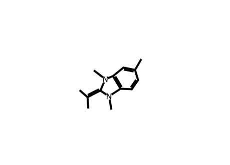 CC(C)=C1N(C)c2ccc(C)cc2N1C